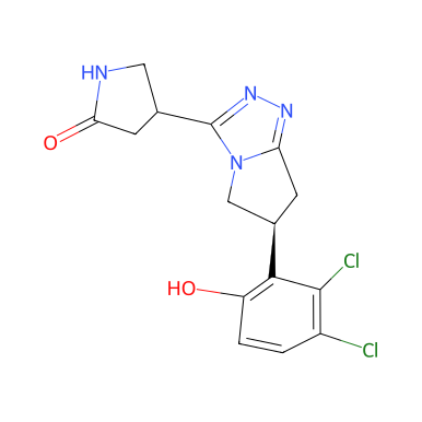 O=C1CC(c2nnc3n2C[C@H](c2c(O)ccc(Cl)c2Cl)C3)CN1